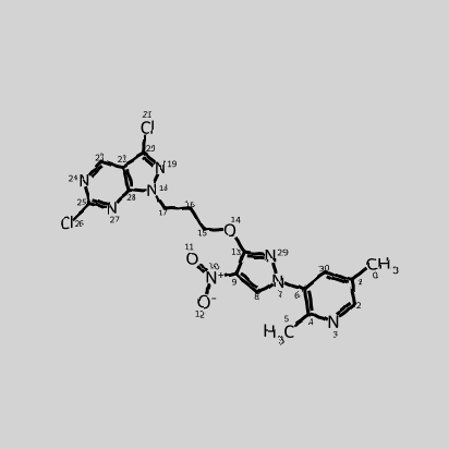 Cc1cnc(C)c(-n2cc([N+](=O)[O-])c(OCCCn3nc(Cl)c4cnc(Cl)nc43)n2)c1